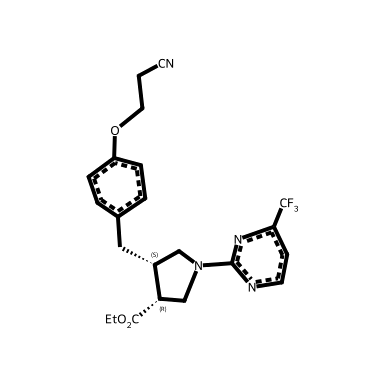 CCOC(=O)[C@H]1CN(c2nccc(C(F)(F)F)n2)C[C@H]1Cc1ccc(OCCC#N)cc1